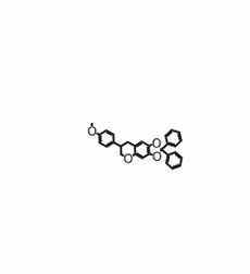 COc1ccc(C2COc3cc4c(cc3C2)OC(c2ccccc2)(c2ccccc2)O4)cc1